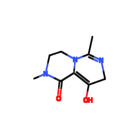 CC1=NCC(O)=C2C(=O)N(C)CCN12